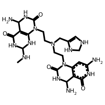 CNC1NC(=O)C2=C(N1)N(CCN(CCN1C(=O)NC(N)c3c1cc(N)[nH]c3=O)CC1=CNCN1)C(=O)NC2N